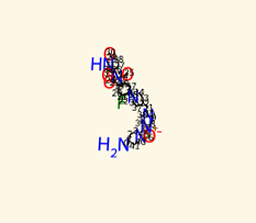 NC1CCN([S+]([O-])N2CCN(CC3CCN(c4cc5c(cc4F)C(=O)N(C4CCC(=O)NC4=O)C5=O)CC3)CC2)CC1